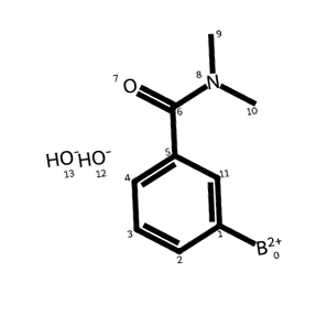 [B+2]c1cccc(C(=O)N(C)C)c1.[OH-].[OH-]